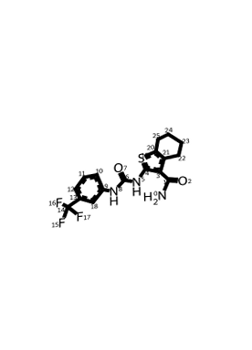 NC(=O)c1c(NC(=O)Nc2cccc(C(F)(F)F)c2)sc2c1CCCC2